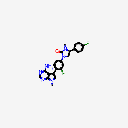 CN1C(=O)N(c2ccc(-c3cn(C)c4ncnc(N)c34)c(F)c2)CC1c1ccc(F)cc1